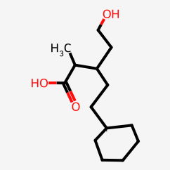 CC(C(=O)O)C(CCO)CC[C]1CCCCC1